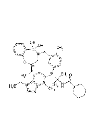 CC[C@@H]1CN(Cc2cc([C@@H](c3ccc4c(nnn4CC)c3C)C(C)(C)NC(=O)C3CCCOC3)ccc2C)S(O)(O)c2ccccc2O1